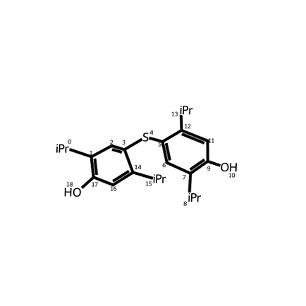 CC(C)c1cc(Sc2cc(C(C)C)c(O)cc2C(C)C)c(C(C)C)cc1O